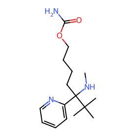 CNC(CCCCOC(N)=O)(c1ccccn1)C(C)(C)C